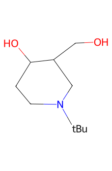 CC(C)(C)N1CCC(O)C(CO)C1